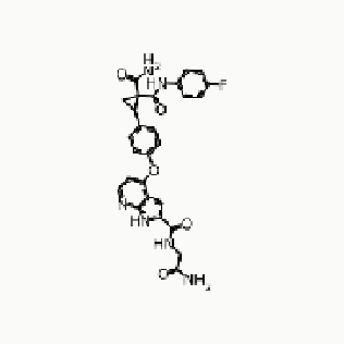 NC(=O)CNC(=O)c1cc2c(Oc3ccc(C4CC4(C(N)=O)C(=O)Nc4ccc(F)cc4)cc3)ccnc2[nH]1